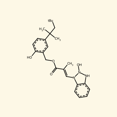 CC(=CN1c2ccccc2NN1O)C(=O)OCc1cc(C(C)(C)CC(C)(C)C)ccc1O